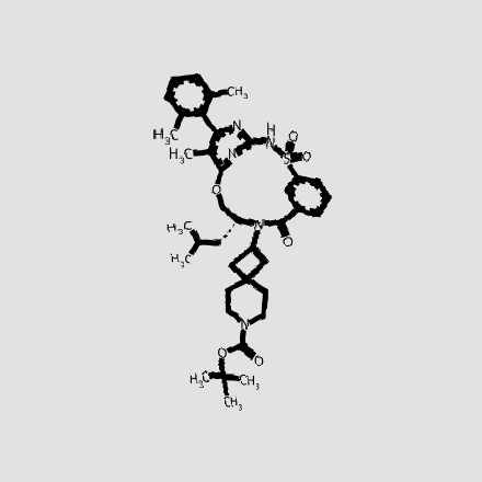 Cc1cccc(C)c1-c1nc2nc(c1C)OC[C@@H](CC(C)C)N(C1CC3(CCN(C(=O)OC(C)(C)C)CC3)C1)C(=O)c1cccc(c1)S(=O)(=O)N2